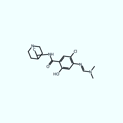 CN(C)C=Nc1cc(O)c(C(=O)NC2CN3CCC2CC3)cc1Cl